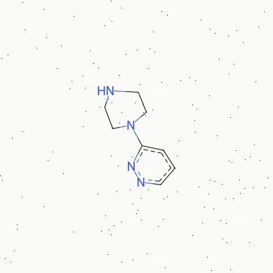 c1cnnc(N2CCNCC2)c1